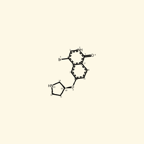 O=c1[nH]cc(Br)c2cc(O[C@H]3CCNC3)ccc12